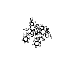 CN1C(C(=O)Nc2ccccn2)=C(O)c2sc(Cl)cc2S1(=O)=O.CN1C(C(=O)Nc2ccccn2)=C(O)c2sccc2S1(=O)=O